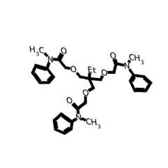 CCC(COCC(=O)N(C)c1ccccc1)(COCC(=O)N(C)c1ccccc1)COCC(=O)N(C)c1ccccc1